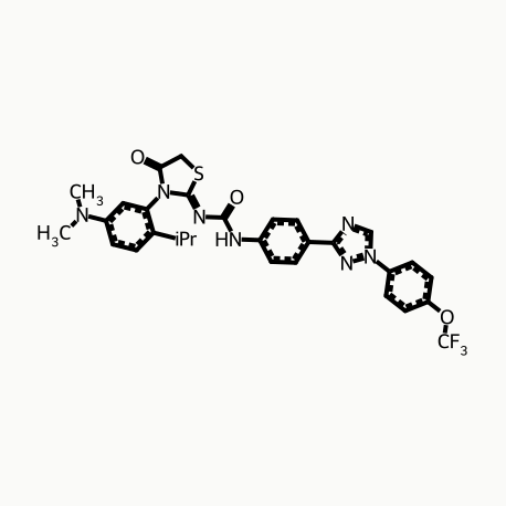 CC(C)c1ccc(N(C)C)cc1N1C(=O)CS/C1=N\C(=O)Nc1ccc(-c2ncn(-c3ccc(OC(F)(F)F)cc3)n2)cc1